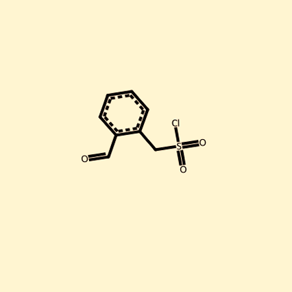 O=Cc1ccccc1CS(=O)(=O)Cl